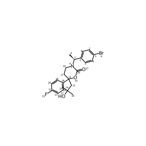 C[C@@H](c1ccc(Br)cc1)N1CCC(CC(C)(C)O)(c2ccc(F)cc2)OC1=O